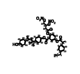 CC(C)Cc1ccc(C(C)C(=O)Oc2ccc(OC(=O)CC(CO[N+](=O)[O-])O[N+](=O)[O-])c(C(=O)Oc3ccc(P4(=S)SP(=S)(c5ccc(O)cc5)S4)cc3)c2)cc1